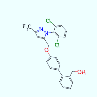 OCc1ccccc1-c1ccc(OCc2cc(C(F)(F)F)nn2-c2c(Cl)cccc2Cl)cc1